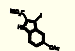 CCOC(=O)c1[nH]c2ccc(OC(C)=O)cc2c1I